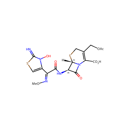 CON=C(C(=O)N[C@@H]1C(=O)N2C(C(=O)O)=C(COC(C)=O)CS[C@@H]12)c1csc(=N)n1O